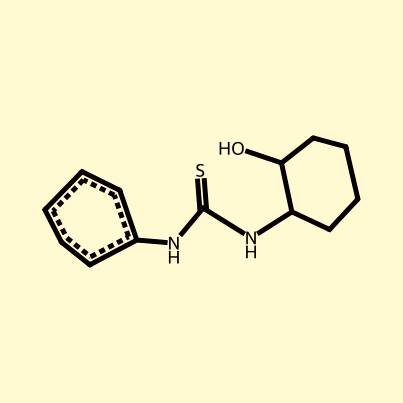 OC1CCCCC1NC(=S)Nc1ccccc1